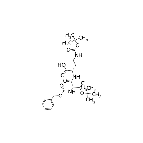 CC(OC(C)(C)C)C(NC(=O)OCc1ccccc1)C(=O)N[C@@H](CCNC(=O)OC(C)(C)C)C(=O)O